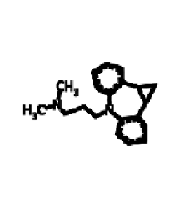 CN(C)CCCN1c2ccccc2C2CC2c2ccccc21